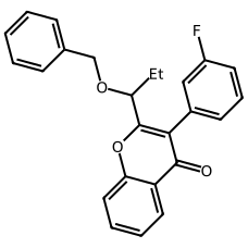 CCC(OCc1ccccc1)c1oc2ccccc2c(=O)c1-c1cccc(F)c1